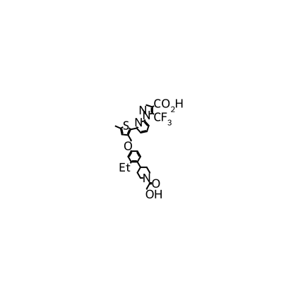 CCc1cc(OCc2cc(C)sc2-c2cccc(-n3ncc(C(=O)O)c3C(F)(F)F)n2)ccc1C1CCN(C(=O)CO)CC1